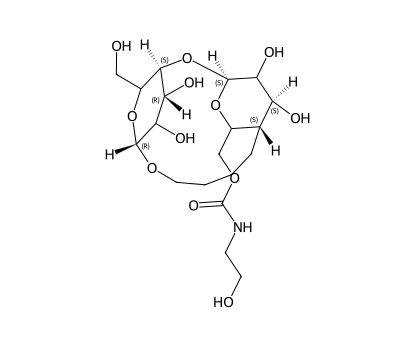 O=C(NCCO)OCC1O[C@H]2O[C@@H]3C(CO)O[C@@H](OCCCC[C@H]1[C@H](O)C2O)C(O)[C@H]3O